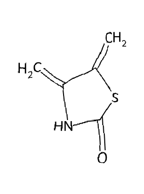 C=c1[nH]c(=O)sc1=C